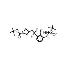 C[C@@H](N[S@@+]([O-])C(C)(C)C)c1cccc(C(F)(F)CC2CN(C(=O)OC(C)(C)C)C2)c1F